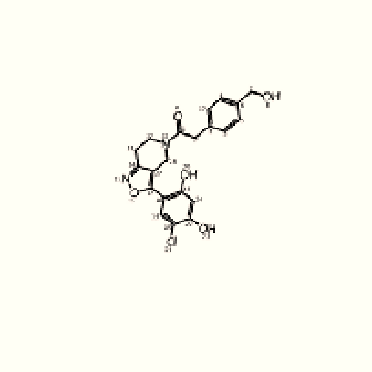 O=C(Cc1ccc(CO)cc1)N1CCc2noc(-c3cc(Cl)c(O)cc3O)c2C1